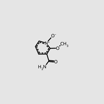 COc1c(C(N)=O)ccc[n+]1[O-]